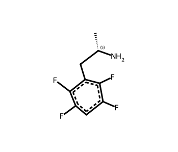 C[C@H](N)Cc1c(F)c(F)cc(F)c1F